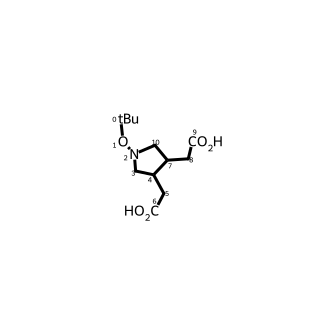 CC(C)(C)ON1CC(CC(=O)O)C(CC(=O)O)C1